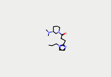 CCCn1ccnc1CCC(=O)N1CCC[C@H](N(C)C)C1